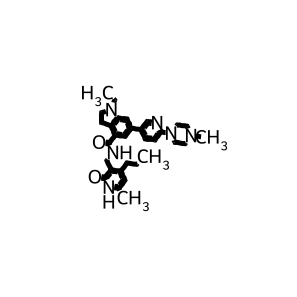 CCCc1cc(C)[nH]c(=O)c1CNC(=O)c1cc(-c2ccc(N3CCN(C)CC3)nc2)cc2c1CCN2CC